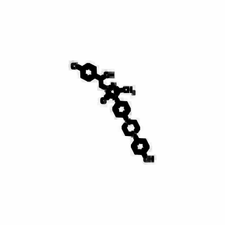 Cc1nn(CC(O)c2ccc(Cl)cc2)c(=O)n1-c1ccc(N2CCN(c3ccc(O)cc3)CC2)cc1